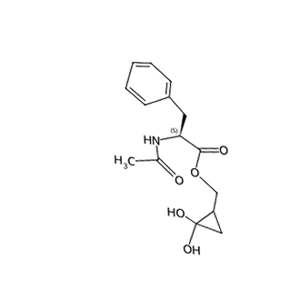 CC(=O)N[C@@H](Cc1ccccc1)C(=O)OCC1CC1(O)O